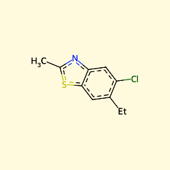 CCc1cc2sc(C)nc2cc1Cl